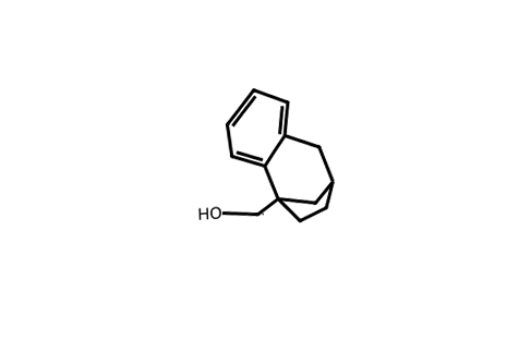 O[CH]C12CCC(Cc3ccccc31)C2